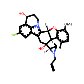 C=CCN1C2C[C@]34c5c(C)ccc(OC)c5O[C@H]3c3c(c5cc(F)cc6c5n3CC[C@H]6O)C[C@@]4(O)[C@@H]21